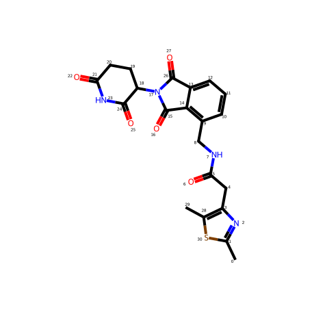 Cc1nc(CC(=O)NCc2cccc3c2C(=O)N(C2CCC(=O)NC2=O)C3=O)c(C)s1